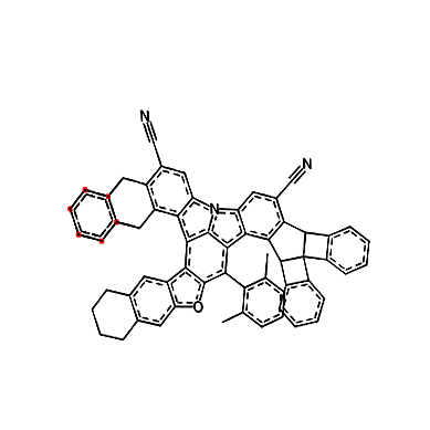 Cc1cccc(C)c1-c1c2oc3cc4c(cc3c2c2c3c5c(c(C#N)cc3n3c6cc(C#N)c7c(c6c1c23)C1c2ccccc2C12c1ccccc1C72)C1c2ccccc2C5c2ccccc21)CCCC4